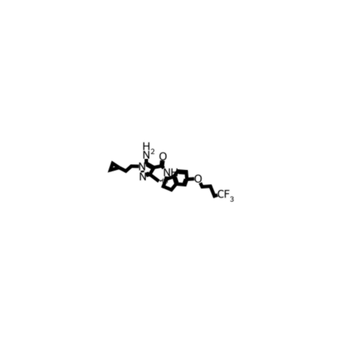 Nc1c2c(nn1CCC1CC1)C[C@]1(CCc3cc(OCCCC(F)(F)F)ccc31)NC2=O